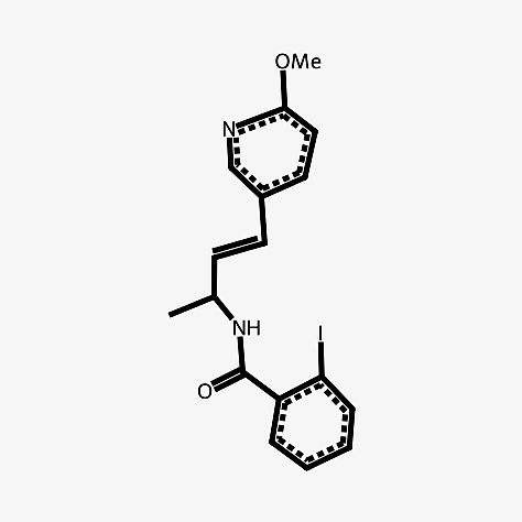 COc1ccc(C=CC(C)NC(=O)c2ccccc2I)cn1